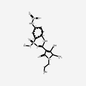 CCOP1(=O)N=C(C2=C(O)C(C)N(CCC(C)(C)C)C2=O)Nc2ccc(N[SH](=O)=O)cc21